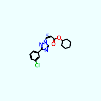 O=C(/C=C\n1cnc(-c2cccc(Cl)c2)n1)OC1CCCCC1